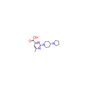 Cc1cc(C(=O)O)nc(N2CCC(N3CCCC3)CC2)n1